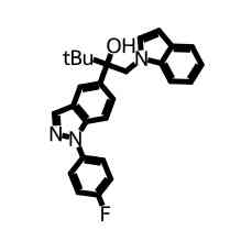 CC(C)(C)C(O)(Cn1ccc2ccccc21)c1ccc2c(cnn2-c2ccc(F)cc2)c1